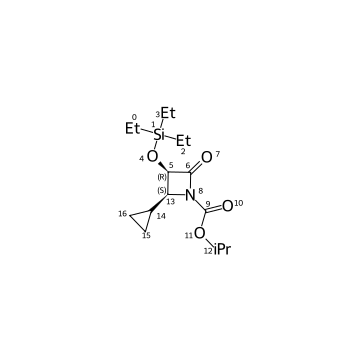 CC[Si](CC)(CC)O[C@H]1C(=O)N(C(=O)OC(C)C)[C@H]1C1CC1